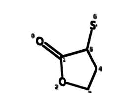 O=C1OCCC1[S]